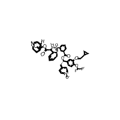 O=C(O[C@@H](Cc1cc[n+]([O-])cc1)c1ccc(OC(F)F)c(OCC2CC2)c1)c1cccc(S(=O)(=O)NC(C(=O)O[C@H]2CN3CCC2CC3)c2ccccc2F)c1